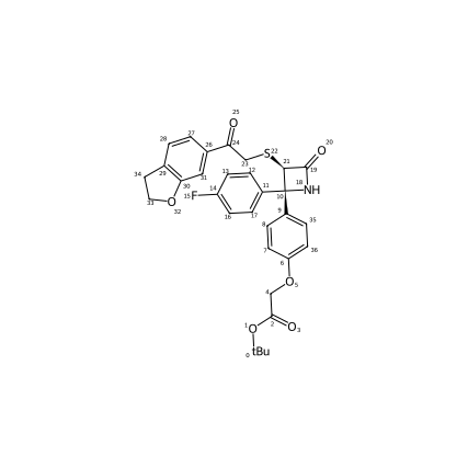 CC(C)(C)OC(=O)COc1ccc([C@]2(c3ccc(F)cc3)NC(=O)[C@@H]2SCC(=O)c2ccc3c(c2)OCC3)cc1